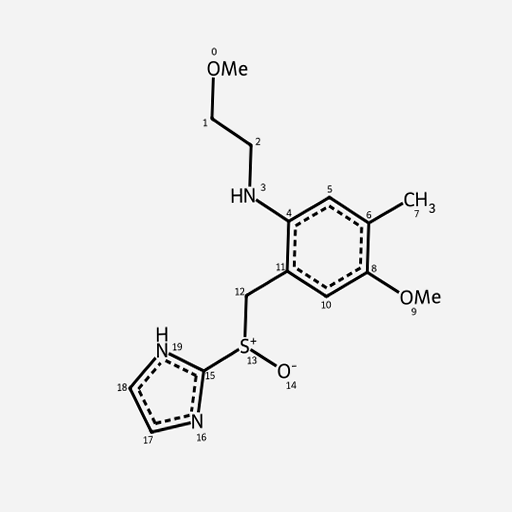 COCCNc1cc(C)c(OC)cc1C[S+]([O-])c1ncc[nH]1